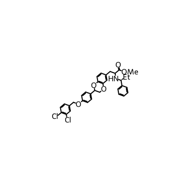 CC[C@H](NC(Cc1ccc2c(c1)OCC(c1ccc(OCc3ccc(Cl)c(Cl)c3)cc1)O2)C(=O)OC)c1ccccc1